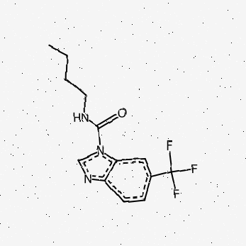 CCCCNC(=O)n1cnc2ccc(C(F)(F)F)cc21